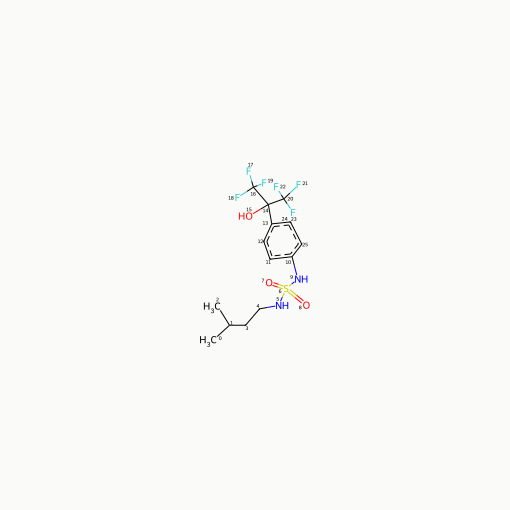 CC(C)CCNS(=O)(=O)Nc1ccc(C(O)(C(F)(F)F)C(F)(F)F)cc1